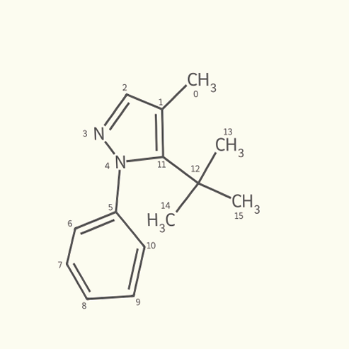 Cc1cnn(-c2ccccc2)c1C(C)(C)C